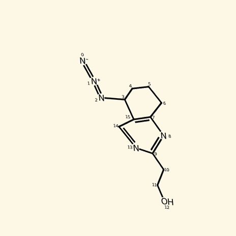 [N-]=[N+]=NC1CCCc2nc(CCO)ncc21